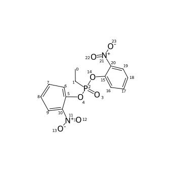 CCP(=O)(Oc1ccccc1[N+](=O)[O-])Oc1ccccc1[N+](=O)[O-]